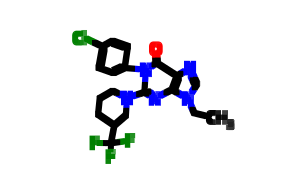 CCn1cnc2c(=O)n(-c3ccc(Cl)cc3)c(N3CCCC(C(F)(F)F)C3)nc21